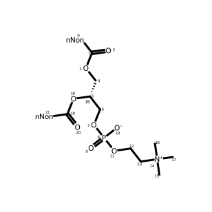 CCCCCCCCCC(=O)OC[C@H](COP(=O)([O-])OCC[N+](C)(C)C)OC(=O)CCCCCCCCC